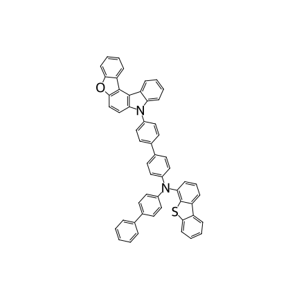 c1ccc(-c2ccc(N(c3ccc(-c4ccc(-n5c6ccccc6c6c7c(ccc65)oc5ccccc57)cc4)cc3)c3cccc4c3sc3ccccc34)cc2)cc1